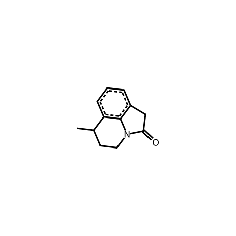 CC1CCN2C(=O)Cc3cccc1c32